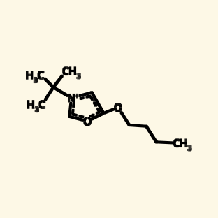 CCCCOc1c[n+](C(C)(C)C)co1